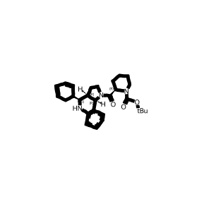 CC(C)(C)OC(=O)N1CCCC[C@@H]1C(=O)N1CC[C@@H]2[C@H](C3C=CC=CC3)Nc3ccccc3[C@@H]21